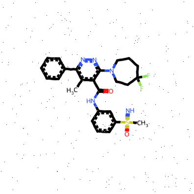 Cc1c(-c2ccccc2)nnc(N2CCCC(F)(F)CC2)c1C(=O)Nc1cccc(S(C)(=N)=O)c1